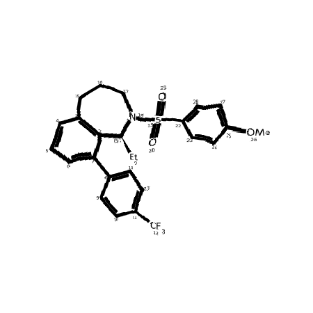 CC[C@H]1c2c(cccc2-c2ccc(C(F)(F)F)cc2)CCCN1S(=O)(=O)c1ccc(OC)cc1